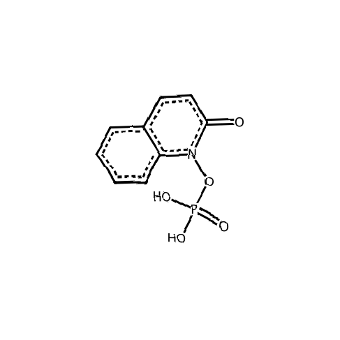 O=c1ccc2ccccc2n1OP(=O)(O)O